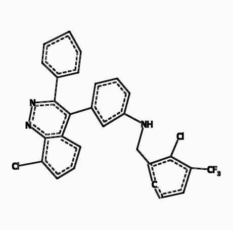 FC(F)(F)c1cccc(CNc2cccc(-c3c(-c4ccccc4)nnc4c(Cl)cccc34)c2)c1Cl